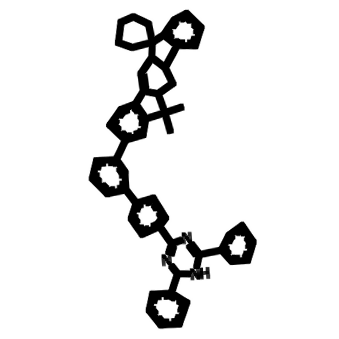 CC1(C)c2cc(-c3cccc(-c4ccc(C5=NC(c6ccccc6)NC(c6ccccc6)=N5)cc4)c3)ccc2C2=CC3C(CC21)c1ccccc1C31CCCCC1